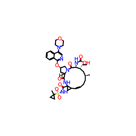 CC[C@@H]1C[C@@H](C)CC/C=C\C2CC2(C(=O)NS(=O)(=O)C2(C)CC2)NC(=O)[C@@H]2C[C@@H](Oc3ncc(N4CCOCC4)c4ccccc34)CN2C(=O)[C@H]1NC(=O)O